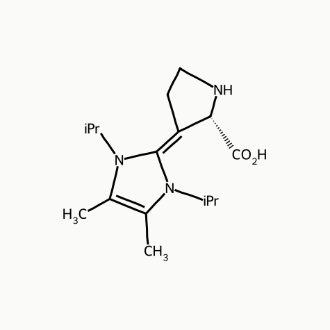 CC1=C(C)N(C(C)C)C(=C2CCN[C@@H]2C(=O)O)N1C(C)C